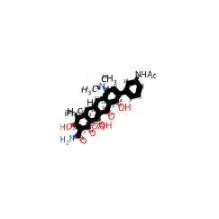 CC(=O)Nc1cccc(-c2cc(N(C)C)c3c(c2O)C(=O)C2=C(O)[C@]4(O)C(=O)C(C(N)=O)=C(O)[C@@H](C(C)C)[C@]4(C)C[C@@H]2C3)c1